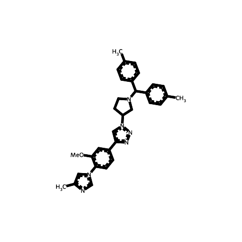 COc1cc(-c2cn(C3CCN(C(c4ccc(C)cc4)c4ccc(C)cc4)C3)nn2)ccc1-n1cnc(C)c1